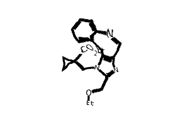 CCOCc1nc2cnc3ccccc3c2n1CC1(C(=O)OCC)CC1